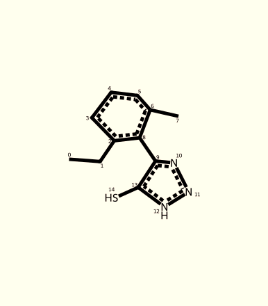 CCc1cccc(C)c1-c1nn[nH]c1S